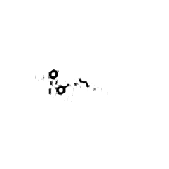 CCOC(=O)Cc1csc(NC(=O)c2cc(C)c3c(c2)N(S(=O)(=O)c2cc(Cl)ccc2OC)CCO3)n1